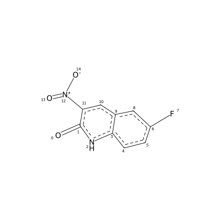 O=c1[nH]c2ccc(F)cc2cc1[N+](=O)[O-]